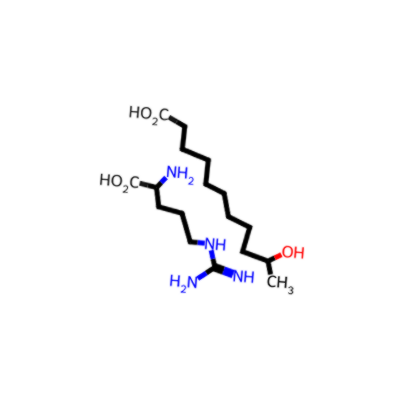 CC(O)CCCCCCCCC(=O)O.N=C(N)NCCCC(N)C(=O)O